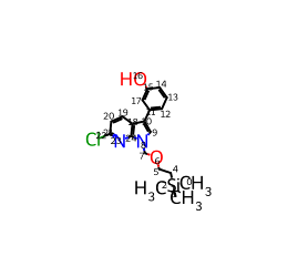 C[Si](C)(C)CCOCn1cc(-c2cccc(O)c2)c2ccc(Cl)nc21